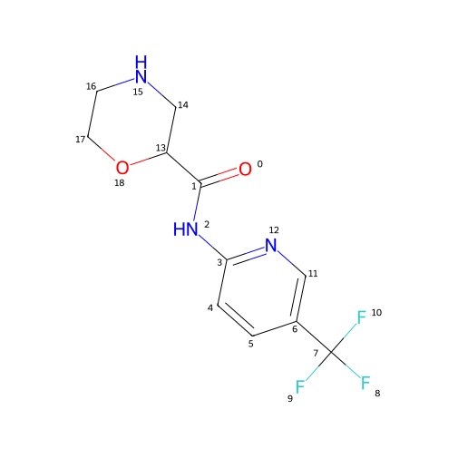 O=C(Nc1ccc(C(F)(F)F)cn1)C1CNCCO1